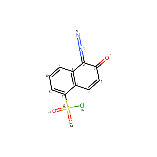 [N-]=[N+]=C1C(=O)C=Cc2c1cccc2S(=O)(=O)Cl